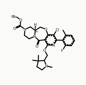 Cc1cccc(F)c1-c1nc(OCC2N(C)CCC2(C)C)c2c(c1Cl)OC[C@H]1CN(C(=O)OC(C)(C)C)CCN1C2=O